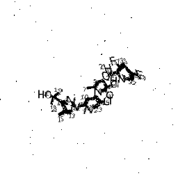 [2H]C([2H])(Oc1cc(C)n(-c2cc(-n3cc(C)c(C(C)(C)O)n3)ncc2Cl)c(=O)c1Cl)c1ncc(F)cc1F